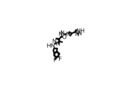 Cc1nc(NC2Cc3cc(F)c(F)cc3C2)ncc1-c1nnc(N2CC(c3c[nH]nn3)C2)o1